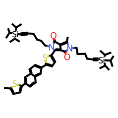 CC1=C2C(=O)N(CCCCC#C[Si](C(C)C)(C(C)C)C(C)C)C(c3ccc(-c4ccc5cc(-c6ccc(C)s6)ccc5c4)s3)=C2C(=O)N1CCCCC#C[Si](C(C)C)(C(C)C)C(C)C